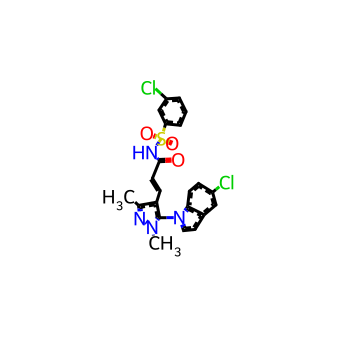 Cc1nn(C)c(-n2ccc3cc(Cl)ccc32)c1C=CC(=O)NS(=O)(=O)c1cccc(Cl)c1